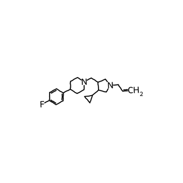 C=CCN1CC(CN2CCC(c3ccc(F)cc3)CC2)C(C2CC2)C1